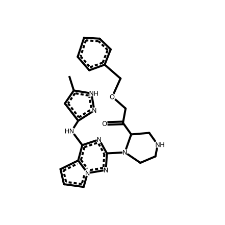 Cc1cc(Nc2nc(N3CCNCC3C(=O)COCc3ccccc3)nn3cccc23)n[nH]1